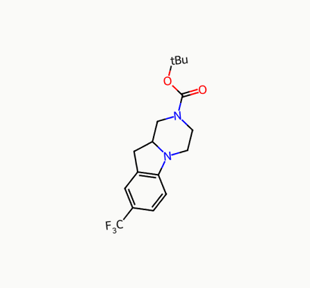 CC(C)(C)OC(=O)N1CCN2c3ccc(C(F)(F)F)cc3CC2C1